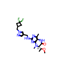 COC(C)[C@H]1C(=O)Nc2c(C)nc(NCc3cnn(CC4CC(F)(F)C4)c3)nc2N1C